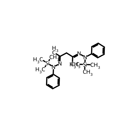 C/C(C/C(C)=N/N(c1ccccc1)[Si](C)(C)C)=N\N(c1ccccc1)[Si](C)(C)C